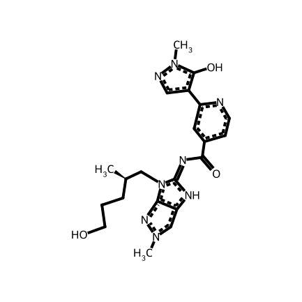 C[C@H](CCCO)Cn1/c(=N/C(=O)c2ccnc(-c3cnn(C)c3O)c2)[nH]c2cn(C)nc21